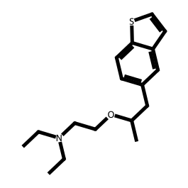 CCN(CC)CCOC(C)Cc1ccc2sccc2c1